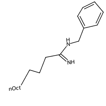 CCCCCCCCCCCC(=N)NCc1ccccc1